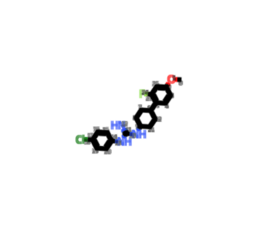 COc1ccc(C2CCC(NC(=N)Nc3ccc(Cl)cc3)CC2)c(F)c1